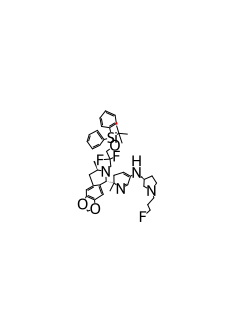 C[C@@H]1Cc2cc3c(cc2[C@@H](C2(C)CC=C(N[C@H]4CCN(CCCF)C4)C=N2)N1CC(F)(F)CO[Si](c1ccccc1)(c1ccccc1)C(C)(C)C)OCO3